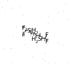 FC(F)[SiH2]CCCC[SiH2]C(F)F